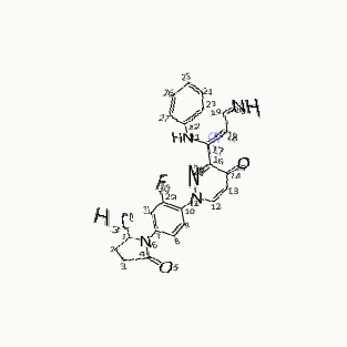 CC1CCC(=O)N1c1ccc(-n2ccc(=O)c(/C(=C/C=N)Nc3ccccc3)n2)c(F)c1